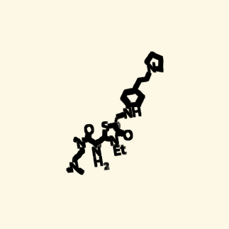 CCN1C(=O)[C@@H](CNc2ccc(CCN3CCCC3)cc2)SC1[C@H](N)C(=O)N(C)CCN(C)C